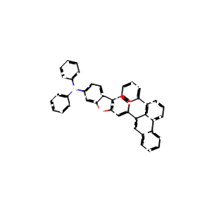 c1ccc(-c2cccc3c2c(-c2ccc4c(c2)oc2cc(N(c5ccccc5)c5ccccc5)ccc24)cc2ccccc23)cc1